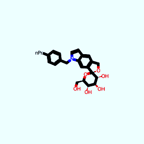 CCCc1ccc(Cn2ccc3cc4c(cc32)[C@]2(OC4)O[C@H](CO)[C@@H](O)[C@H](O)[C@H]2O)cc1